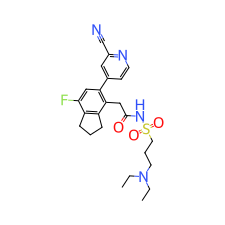 CCN(CC)CCCS(=O)(=O)NC(=O)Cc1c(-c2ccnc(C#N)c2)cc(F)c2c1CCC2